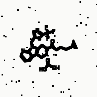 O=C(CCCC1CC1)N1CCc2c(n(Cc3cnc(C(F)(F)F)s3)c3ncccc23)C1.O=C(O)O